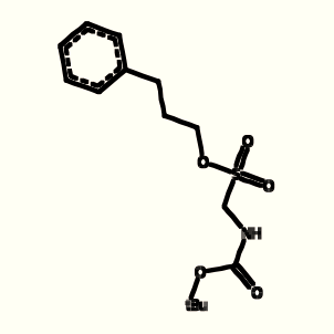 CC(C)(C)OC(=O)NCS(=O)(=O)OCCCc1ccccc1